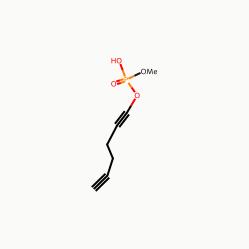 C#CCCC#COP(=O)(O)OC